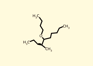 CCC=C(C)C(CCCCC)OCCCC